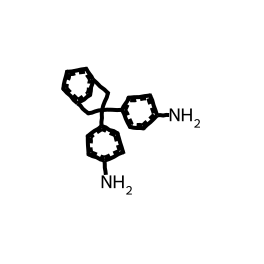 Nc1ccc(C2(c3ccc(N)cc3)Cc3cccc(c3)C2)cc1